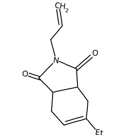 C=CCN1C(=O)C2CC=C(CC)CC2C1=O